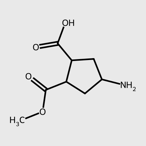 COC(=O)C1CC(N)CC1C(=O)O